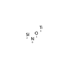 [N].[O].[Si].[Ti]